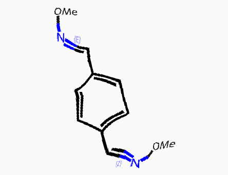 CO/N=C\c1ccc(/C=N/OC)cc1